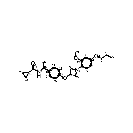 CCCOc1ccc(N2CC(Oc3ccc(C(C)NC(=O)C4CC4)cc3)C2)c(OC)c1